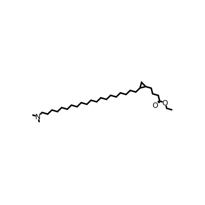 CCOC(=O)CCCC1CC1CCCCCCCCCCCCCCCCCCCCN(C)C